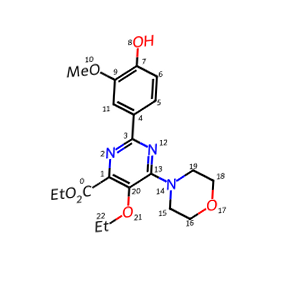 CCOC(=O)c1nc(-c2ccc(O)c(OC)c2)nc(N2CCOCC2)c1OCC